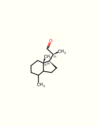 CC1CCC[C@@]2(C)C1CC[C@@H]2[C@H](C)C=O